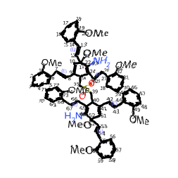 COc1ccccc1/C=C/C1=CC(/C=C/c2ccccc2OC)(OC)C(N)=C(/C=C/c2ccccc2OC)C1CS(=O)(=O)CC1C(/C=C/c2ccccc2OC)=CC(/C=C/c2ccccc2OC)(OC)C(N)=C1/C=C/c1ccccc1OC